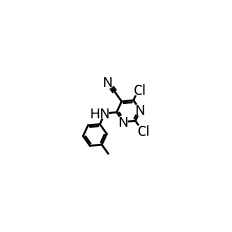 Cc1cccc(Nc2nc(Cl)nc(Cl)c2C#N)c1